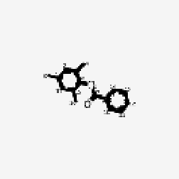 Cc1cc(C)c(OC(=O)c2ccccc2)c(C)c1